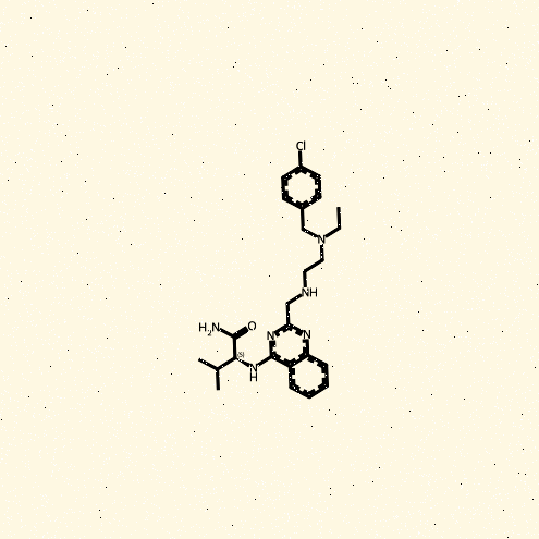 CCN(CCNCc1nc(N[C@H](C(N)=O)C(C)C)c2ccccc2n1)Cc1ccc(Cl)cc1